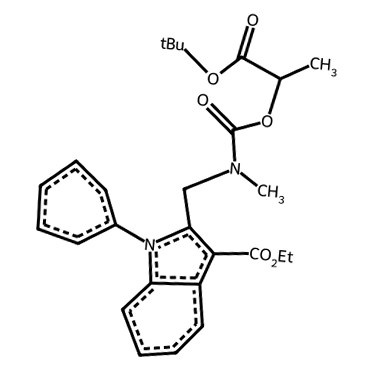 CCOC(=O)c1c(CN(C)C(=O)OC(C)C(=O)OC(C)(C)C)n(-c2ccccc2)c2ccccc12